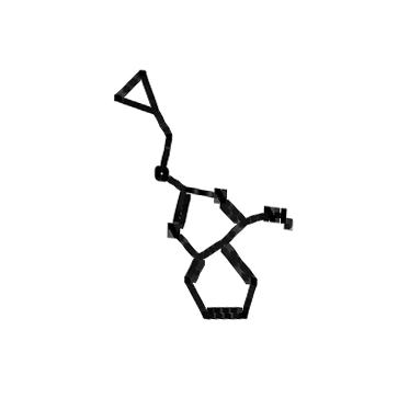 Nc1nc(OCC2CC2)nc2ccccc12